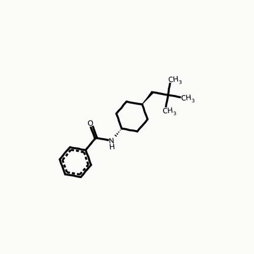 CC(C)(C)C[C@H]1CC[C@H](NC(=O)c2ccccc2)CC1